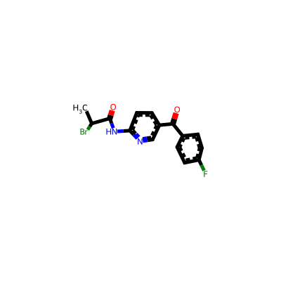 CC(Br)C(=O)Nc1ccc(C(=O)c2ccc(F)cc2)cn1